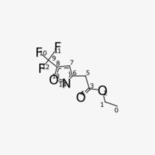 CCOC(=O)Cc1cc(C(F)(F)F)on1